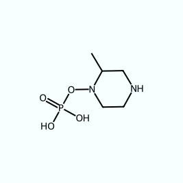 CC1CNCCN1OP(=O)(O)O